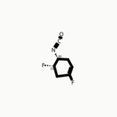 O=C=N[C@@H]1CC=C(F)C[C@@H]1F